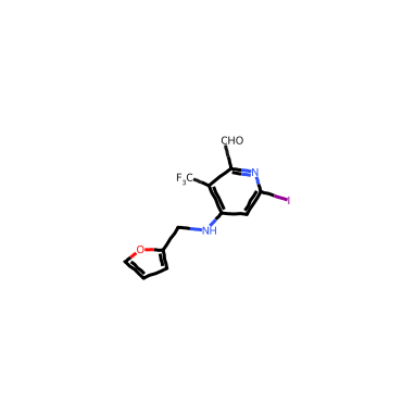 O=Cc1nc(I)cc(NCc2ccco2)c1C(F)(F)F